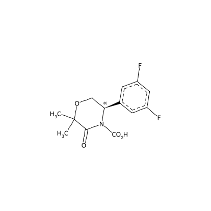 CC1(C)OC[C@@H](c2cc(F)cc(F)c2)N(C(=O)O)C1=O